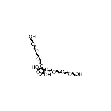 O=C(O)/C(OCCOCCOCCOCCO)=C(/OCCOCCOCCOCCO)C(=O)O